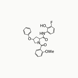 COc1ccccc1C(=O)N1CC(Oc2ccccc2)CC1C(=O)Nc1cccc(F)c1O